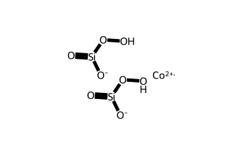 O=[Si]([O-])OO.O=[Si]([O-])OO.[Co+2]